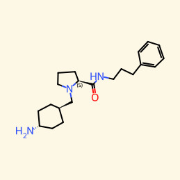 N[C@H]1CC[C@H](CN2CCC[C@H]2C(=O)NCCCc2ccccc2)CC1